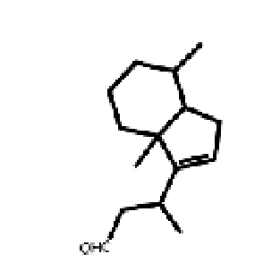 CC(CC=O)C1=CCC2C(C)CCCC12C